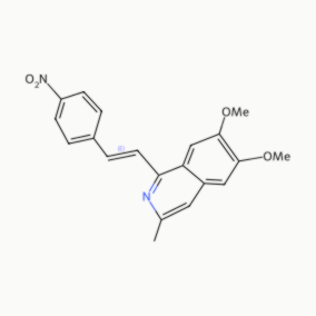 COc1cc2cc(C)nc(/C=C/c3ccc([N+](=O)[O-])cc3)c2cc1OC